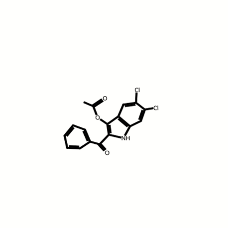 CC(=O)Oc1c(C(=O)c2ccccc2)[nH]c2cc(Cl)c(Cl)cc12